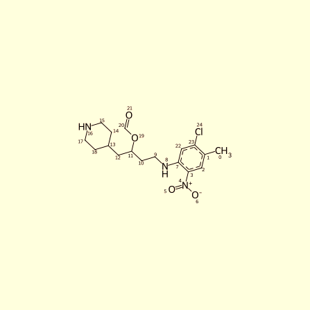 Cc1cc([N+](=O)[O-])c(NCCC(CC2CCNCC2)OC=O)cc1Cl